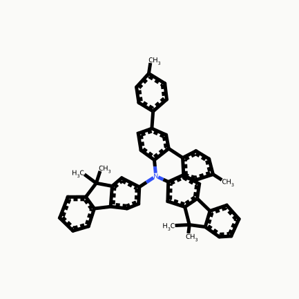 Cc1ccc(-c2ccc(N(c3ccc4c(c3)C(C)(C)c3ccccc3-4)c3ccc4c(c3)C(C)(C)c3ccccc3-4)c(-c3ccc(C)cc3)c2)cc1